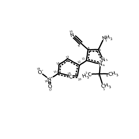 CC(C)(C)n1nc(N)c(C#N)c1-c1ccc([N+](=O)[O-])cc1